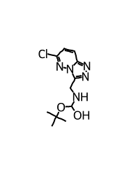 CC(C)(C)OC(O)NCc1nnc2ccc(Cl)nn12